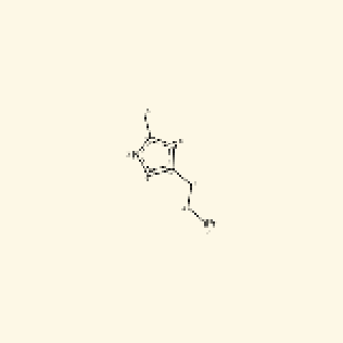 Cc1ncc(CCC(C)C)s1